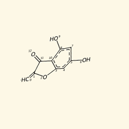 [CH]=C1Oc2cc(O)cc(O)c2C1=O